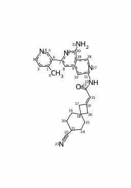 Cc1ccncc1-c1cc2cc(NC(=O)C=C3CC4(CCC(C#N)CC4)C3)ncc2c(N)n1